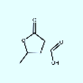 CC1CCC(=O)O1.O=CO